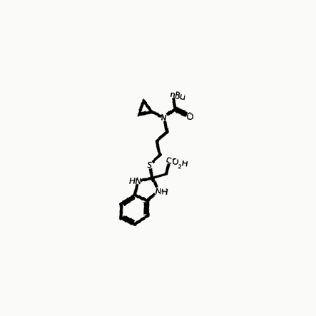 CCCCC(=O)N(CCCSC1(CC(=O)O)Nc2ccccc2N1)C1CC1